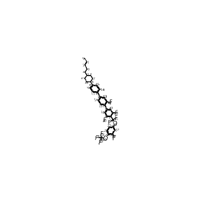 CCCCCC1CCC(c2ccc(-c3ccc(-c4cc(F)c(C(F)(F)Oc5ccc(OC(F)(F)F)c(F)c5)c(F)c4)c(F)c3)cc2)CC1